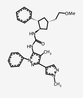 COCC[C@@H]1C[C@@H](NC(=O)Nc2c(C)c(-c3cnn(C)c3)nn2-c2ccccc2)[C@H](c2ccccc2)C1